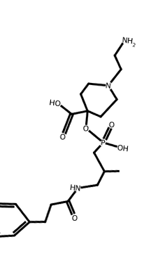 CC(CNC(=O)CCc1ccccc1)CP(=O)(O)OC1(C(=O)O)CCN(CCN)CC1